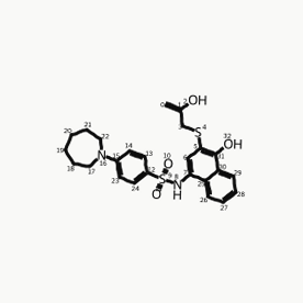 C=C(O)CSc1cc(NS(=O)(=O)c2ccc(N3CCCCCC3)cc2)c2ccccc2c1O